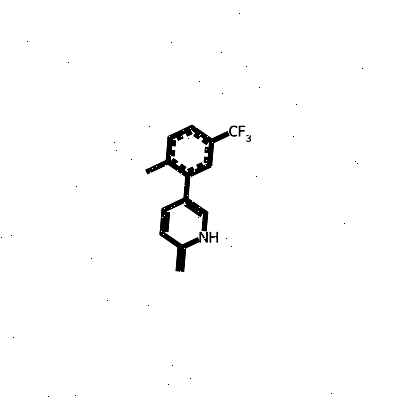 C=C1C=CC(c2cc(C(F)(F)F)ccc2C)=CN1